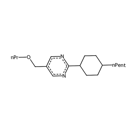 CCCCCC1CCC(c2ncc(COCCC)cn2)CC1